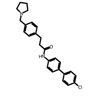 O=C(CCc1ccc(CN2CCCC2)cc1)Nc1ccc(-c2ccc(Cl)cc2)cc1